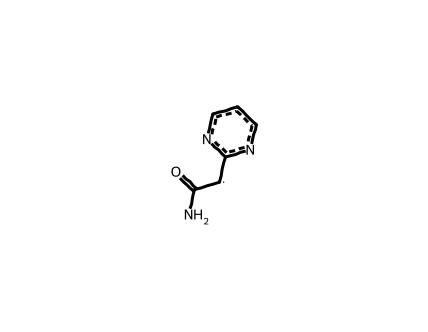 NC(=O)[CH]c1ncccn1